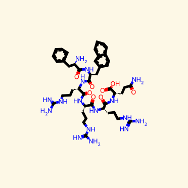 N=C(N)NCCC[C@H](NC(=O)[C@H](CCCNC(=N)N)NC(=O)[C@H](CCCNC(=N)N)NC(=O)[C@H](Cc1ccc2ccccc2c1)NC(=O)[C@@H](N)Cc1ccccc1)C(=O)N[C@@H](CCC(N)=O)C(=O)O